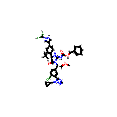 COC[C@H](c1ccc(Cl)c(-c2ncnn2C2CC2)c1)N1C(=O)[C@@](CC(C)(C)C)(c2ccc(-c3cnn(C(F)F)c3)cc2)N/C1=N\C(=O)OCc1ccccc1